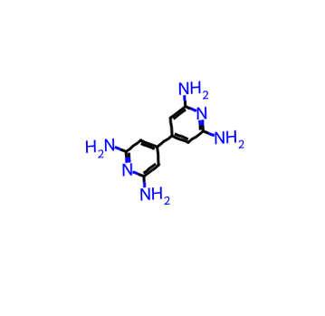 Nc1cc(-c2cc(N)nc(N)c2)cc(N)n1